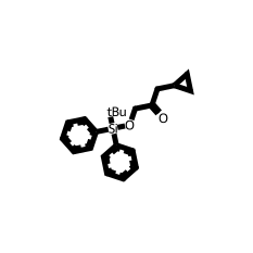 CC(C)(C)[Si](OCC(=O)CC1CC1)(c1ccccc1)c1ccccc1